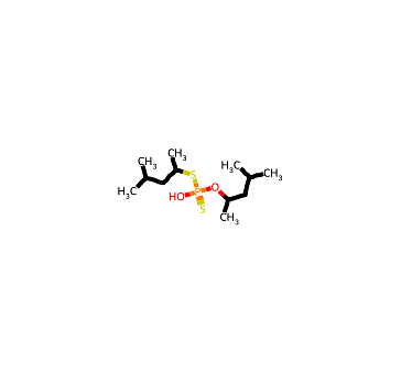 CC(C)CC(C)OP(O)(=S)SC(C)CC(C)C